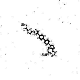 CC(C)(C)OC(=O)N1CCC(c2ncc(-c3ccc(-c4ccc(-c5cnc([C@@H]6CCCN6C(=O)OC(C)(C)C)[nH]5)cc4)cc3)[nH]2)C1